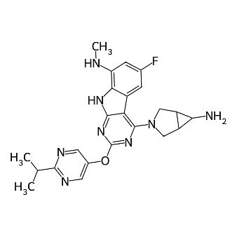 CNc1cc(F)cc2c1[nH]c1nc(Oc3cnc(C(C)C)nc3)nc(N3CC4C(N)C4C3)c12